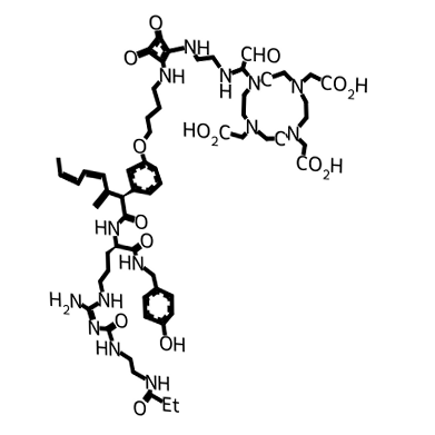 C=C(/C=C\C=C/C)[C@H](C(=O)N[C@H](CCCN/C(N)=N\C(=O)NCCNC(=O)CC)C(=O)NCc1ccc(O)cc1)c1cccc(OCCCCNc2c(NCCNC(C=O)N3CCN(CC(=O)O)CCN(CC(=O)O)CCN(CC(=O)O)CC3)c(=O)c2=O)c1